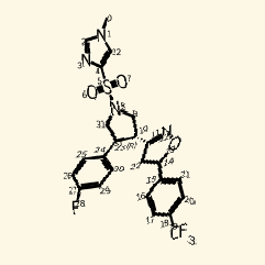 Cn1cnc(S(=O)(=O)N2C[C@H](C3=NOC(c4ccc(C(F)(F)F)cc4)C3)[C@@H](c3ccc(F)cc3)C2)c1